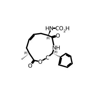 C[C@@H]1CC=CC[C@@H](NC(=O)O)C(=O)N[C@H](c2ccccc2)COC1=O